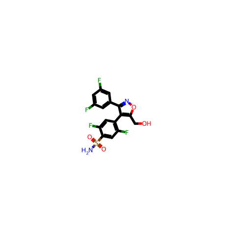 NS(=O)(=O)c1cc(F)c(-c2c(-c3cc(F)cc(F)c3)noc2CO)cc1F